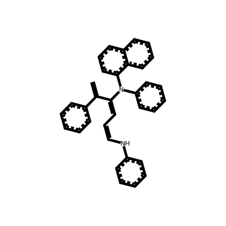 C=C(/C(=C\C=C/Nc1ccccc1)N(c1ccccc1)c1cccc2ccccc12)c1ccccc1